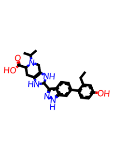 CCc1cc(O)ccc1-c1ccc2c(C3NC4=C(CN(C(C)C)C(C(=O)O)C4)N3)n[nH]c2c1